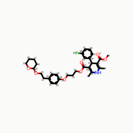 COC(=O)C1=C(C)NC(C)=C(C(=O)OCCCOc2ccc(CCOC3CCCCO3)cc2)C1c1cccc(F)c1